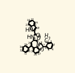 Cc1ccccc1C(=O)CN1C(=O)C(NC(=O)c2cc3ccccc3[nH]2)C=C(c2ccccc2)c2ccccc21